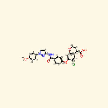 COc1ccc(-n2ccc(NC(=O)c3ccc(Oc4cc5c(cc4Cl)C(C(=O)O)CCO5)cc3)n2)cc1